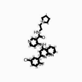 O=C(NCCN1CCCC1)c1cnccc1Nc1cc(-c2cc(Cl)ccc2F)nc2ncccc12